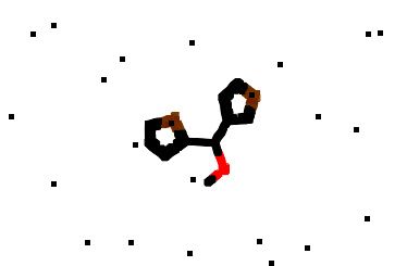 COC(c1ccsc1)c1cccs1